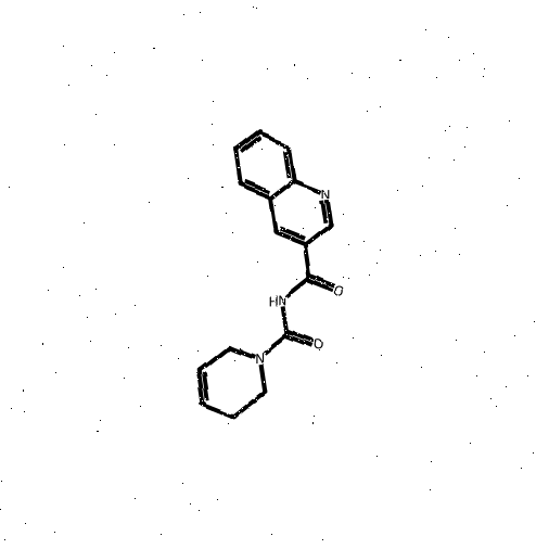 O=C(NC(=O)N1CC=CCC1)c1cnc2ccccc2c1